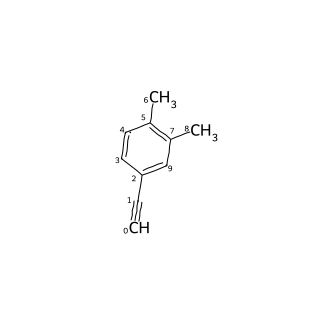 C#Cc1c[c]c(C)c(C)c1